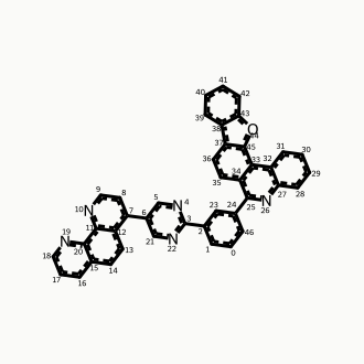 c1cc(-c2ncc(-c3ccnc4c3ccc3cccnc34)cn2)cc(-c2nc3ccccc3c3c2ccc2c4ccccc4oc23)c1